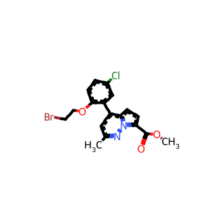 COC(=O)c1ccc2c(-c3cc(Cl)ccc3OCCBr)cc(C)nn12